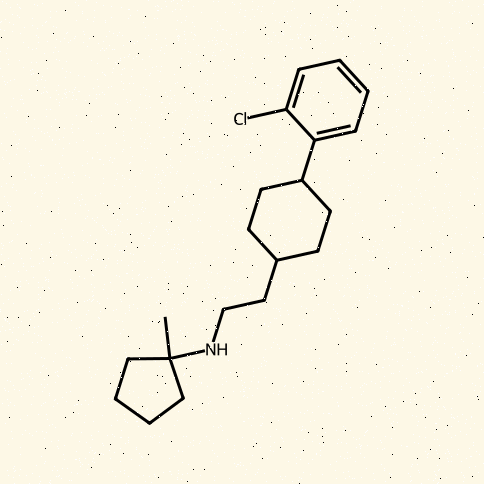 CC1(NCCC2CCC(c3ccccc3Cl)CC2)CCCC1